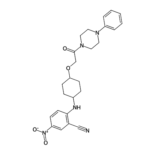 N#Cc1cc([N+](=O)[O-])ccc1NC1CCC(OCC(=O)N2CCN(c3ccccc3)CC2)CC1